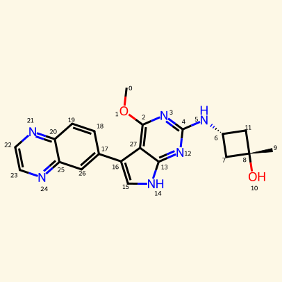 COc1nc(N[C@H]2C[C@@](C)(O)C2)nc2[nH]cc(-c3ccc4nccnc4c3)c12